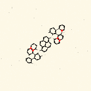 CC(C)(C)c1ccccc1-c1ccc(F)c(N(c2ccccc2)c2ccc3ccc4c(N(c5ccccc5)c5c(F)ccc(-c6ccccc6C(C)(C)C)c5-c5ccccc5C(C)(C)C)ccc5ccc2c3c54)c1-c1ccccc1C(C)(C)C